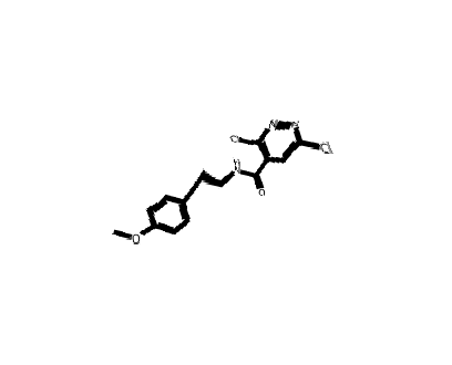 COc1ccc(CCNC(=O)c2cc(Cl)nnc2Cl)cc1